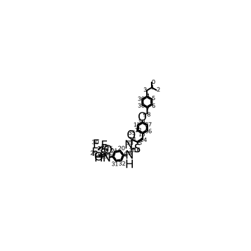 CC(C)Cc1ccc(COc2ccc(C=C3SC(Nc4ccc(NS(=O)(=O)C(F)(F)F)cc4)=NC3=O)cc2)cc1